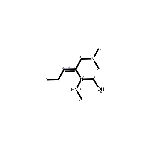 CC/C=C(/CN(C)C)N(CO)NC